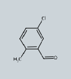 Cc1ccc(Cl)cc1C=O